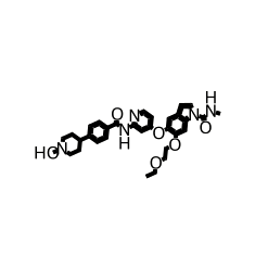 CCOCCOc1cc2c(ccn2C(=O)NC)cc1Oc1ccnc(NC(=O)c2ccc(C3CCN(O)CC3)cc2)c1